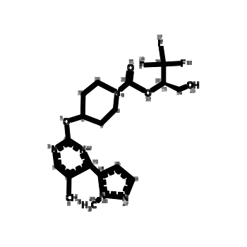 Cc1cnc(OC2CCN(C(=O)O[C@H](CO)C(F)(F)F)CC2)nc1-c1ccnn1C